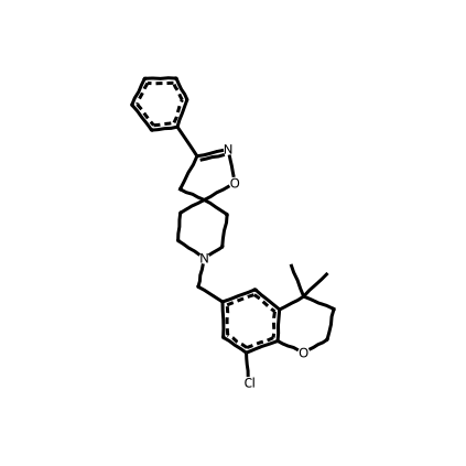 CC1(C)CCOc2c(Cl)cc(CN3CCC4(CC3)CC(c3ccccc3)=NO4)cc21